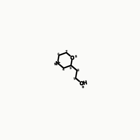 OCCC1C[N]CCO1